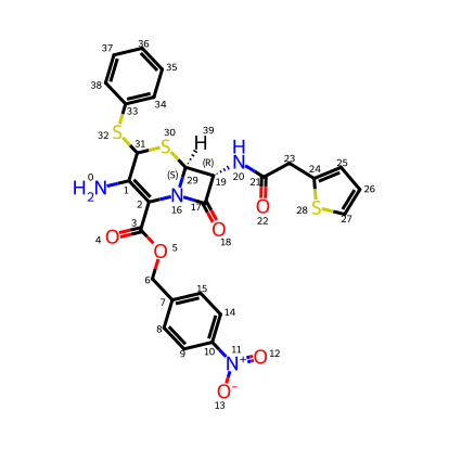 NC1=C(C(=O)OCc2ccc([N+](=O)[O-])cc2)N2C(=O)[C@@H](NC(=O)Cc3cccs3)[C@@H]2SC1Sc1ccccc1